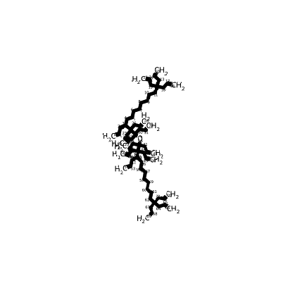 C=CCC(CCCCCCCCC(CC=C)(CC=C)CC=C)C(CC=C)(CC=C)C(CC=C)(CC=C)OC(CC=C)(CC=C)C(CC=C)(CC=C)C(CC=C)CCCCCCCCC(CC=C)(CC=C)CC=C